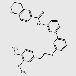 COc1ccc(CCOc2cccc(-c3cccc(NC(=O)c4ccc5c(c4)CCCN5)c3)n2)cc1OC